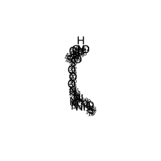 Nc1ncnc2c1c(-c1ccc(Oc3ccccc3)cc1)nn2C1CCN(CCOCCOCCOCCSc2cccc3c2C(=O)N(C2CCC(=O)NC2=O)C3=O)CC1